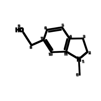 CN1CCc2ccc(CO)cc21